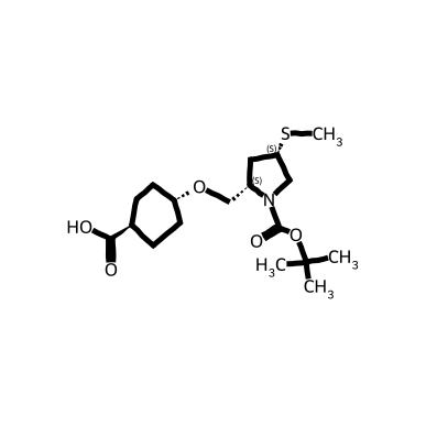 CS[C@H]1C[C@@H](CO[C@H]2CC[C@H](C(=O)O)CC2)N(C(=O)OC(C)(C)C)C1